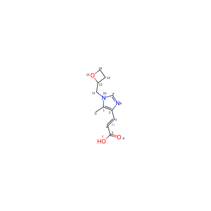 Cc1c(/C=C/C(=O)O)ncn1CC1CCO1